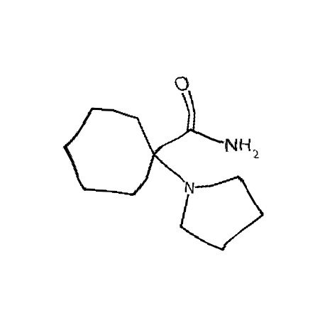 NC(=O)C1(N2CCCC2)CCCCC1